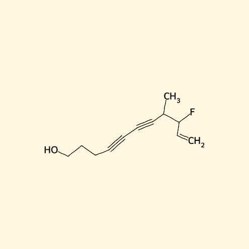 C=CC(F)C(C)C#CC#CCCCO